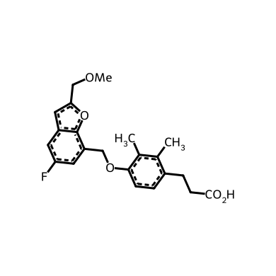 COCc1cc2cc(F)cc(COc3ccc(CCC(=O)O)c(C)c3C)c2o1